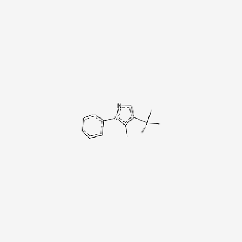 Cc1c(C(C)(C)C)cnn1-c1ccccc1